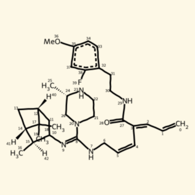 C=C/C=C(\C=C/CN/C(=N/C1C[C@H]2C[C@@H]([C@@H]1C)C2(C)C)N1CCN[C@@H](C)C1)C(=O)NCCc1ccc(OC)cc1F